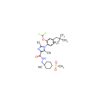 CCc1nc(C(=O)NC[C@]2(C#N)CC[C@@H](S(C)(=O)=O)CC2)c(C#N)n1-c1ccc(CC(C)(C)C(F)(F)F)cc1OC(F)F